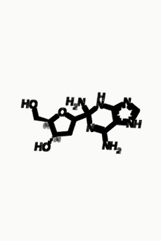 NC1=NC(N)(C2C[C@H](O)[C@@H](CO)O2)Nc2nc[nH]c21